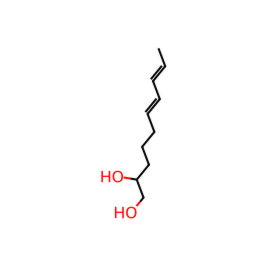 CC=CC=CCCCC(O)CO